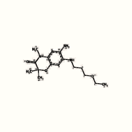 CCOCCCNc1cc2c(cc1N)N(C)C(=O)C(C)(C)O2